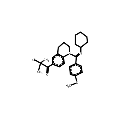 COc1ccc(/C(=N/C2CCCCC2)N2CCCc3cc(C(=O)C(C)(C)Cl)ccc32)cc1